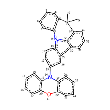 CC1(C)c2ccccc2-n2c3ccc(N4c5ccccc5Oc5ccccc54)cc3c3cccc1c32